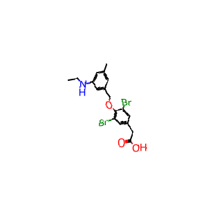 CCNc1cc(C)cc(COc2c(Br)cc(CC(=O)O)cc2Br)c1